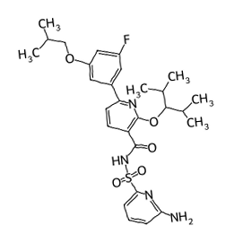 CC(C)COc1cc(F)cc(-c2ccc(C(=O)NS(=O)(=O)c3cccc(N)n3)c(OC(C(C)C)C(C)C)n2)c1